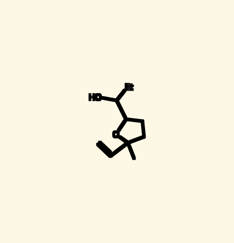 C=CC1(C)CCC(C(O)CC)O1